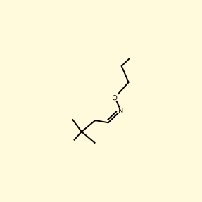 CCCO/N=C\CC(C)(C)C